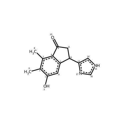 Cc1c(O)cc2c(c1C)C(=O)CC2c1c[nH]cn1